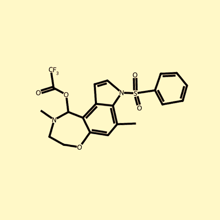 Cc1cc2c(c3ccn(S(=O)(=O)c4ccccc4)c13)C(OC(=O)C(F)(F)F)N(C)CCO2